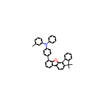 Cc1cccc(N(c2ccccc2)c2ccc(-c3cccc4c3oc3c5c(ccc34)C(C)(C)c3ccccc3-5)cc2)c1